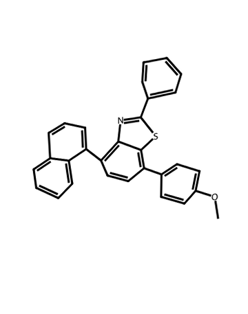 COc1ccc(-c2ccc(-c3cccc4ccccc34)c3nc(-c4ccccc4)sc23)cc1